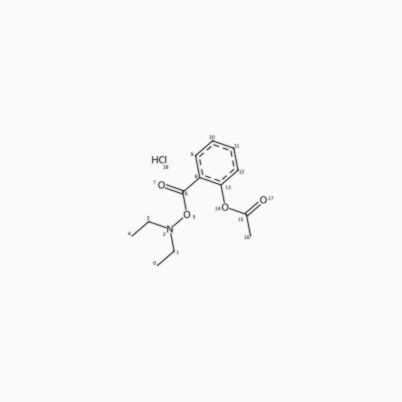 CCN(CC)OC(=O)c1ccccc1OC(C)=O.Cl